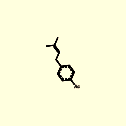 CC(=O)c1ccc(CC=C(C)C)cc1